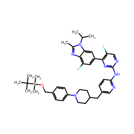 Cc1nc2c(F)cc(-c3nc(Nc4ccc(CC5CCN(c6ccc(CO[Si](C)(C)C(C)(C)C)cc6)CC5)cn4)ncc3F)cc2n1C(C)C